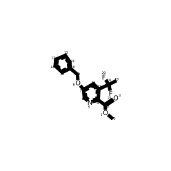 COC(=O)c1ncc(OCc2ccccc2)cc1C(C)(F)F